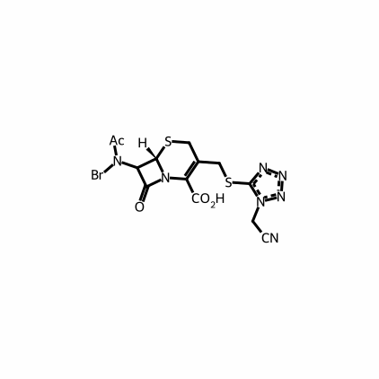 CC(=O)N(Br)C1C(=O)N2C(C(=O)O)=C(CSc3nnnn3CC#N)CS[C@@H]12